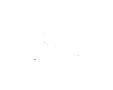 CC(=O)N[C@@H](CCC(=O)O)C(=O)N[C@@H](CC(=O)OCc1ccccc1)C(=O)N[C@@H](CC(=O)O)C(=O)NCCOCCOCCN=[N+]=[N-]